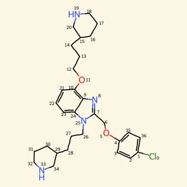 Clc1ccc(OCc2nc3c(OCCCC4CCCNC4)cccc3n2CCCC2CCCNC2)cc1